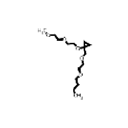 CCCCOCCOCC1(OCCOCCOC)CC1